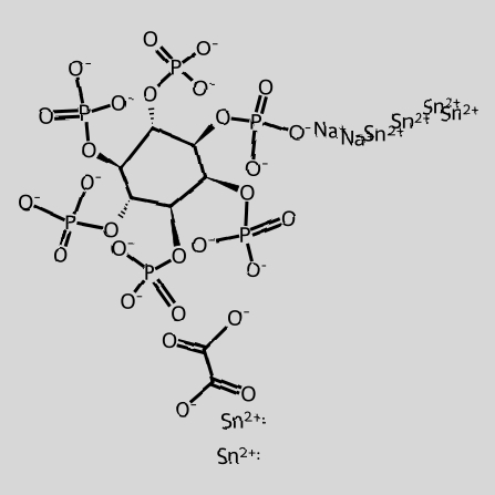 O=C([O-])C(=O)[O-].O=P([O-])([O-])O[C@H]1[C@H](OP(=O)([O-])[O-])[C@@H](OP(=O)([O-])[O-])[C@H](OP(=O)([O-])[O-])[C@@H](OP(=O)([O-])[O-])[C@H]1OP(=O)([O-])[O-].[Na+].[Na+].[Sn+2].[Sn+2].[Sn+2].[Sn+2].[Sn+2].[Sn+2]